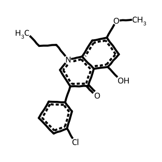 CCCn1cc(-c2cccc(Cl)c2)c(=O)c2c(O)cc(OC)cc21